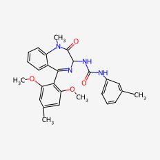 COc1cc(C)cc(OC)c1C1=NC(NC(=O)Nc2cccc(C)c2)C(=O)N(C)c2ccccc21